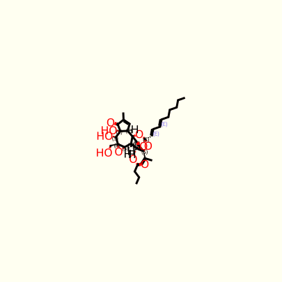 C=C(C)[C@@]12O[C@@]3(/C=C/C=C/CCCCC)O[C@@H]1[C@@H]1[C@@H]4O[C@]4(CO)[C@@H](O)[C@]4(O)C(=O)C(C)=C[C@H]4C1(O3)[C@H](C)[C@H]2OC(=O)CCC